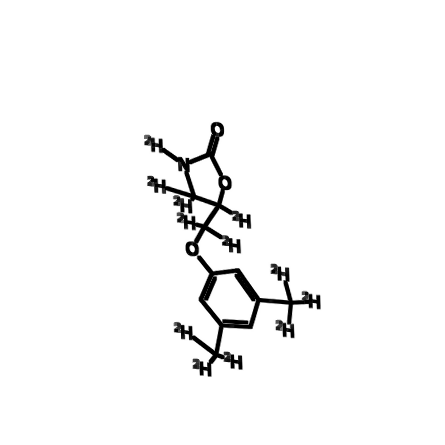 [2H]N1C(=O)OC([2H])(C([2H])([2H])Oc2cc(C([2H])([2H])[2H])cc(C([2H])([2H])[2H])c2)C1([2H])[2H]